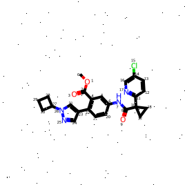 COC(=O)c1cc(NC(=O)C2(c3ccc(Cl)cn3)CC2)ccc1-c1cnn(C2CCC2)c1